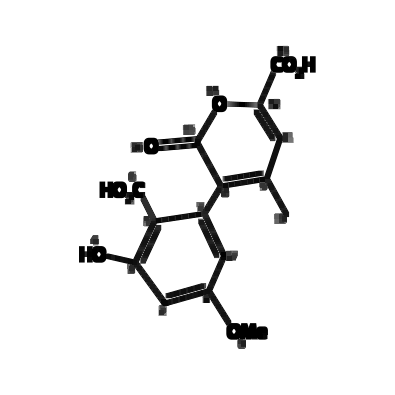 COc1cc(O)c(C(=O)O)c(-c2c(C)cc(C(=O)O)oc2=O)c1